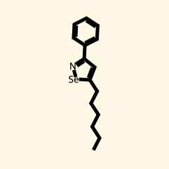 CCCCCCc1cc(-c2ccccc2)n[se]1